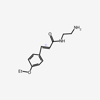 CCOc1ccc(/C=C/C(=O)NCCN)cc1